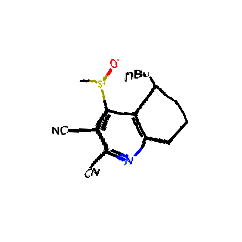 CCCCC1CCCc2nc(C#N)c(C#N)c([S+](C)[O-])c21